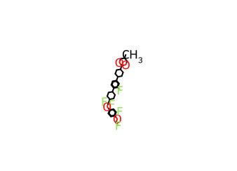 CC1COC(C2CCC(c3ccc(C4CCC(C(F)(F)Oc5ccc(OCF)c(F)c5)CC4)c(F)c3)CC2)OC1